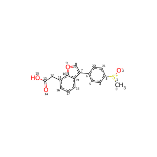 C[S+]([O-])c1ccc(-c2coc3c(CC(=O)O)cccc23)cc1